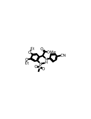 CCOc1cc(C(Nc2ccc(C#N)cc2)C(=O)OC)c(N(C)S(C)(=O)=O)cc1OCC